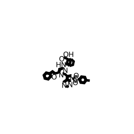 Cc1ccc(S(=O)(=O)n2cc(-c3nc(NC4C5CCC(CC5)C4C(=O)O)cc(-c4cc5ccccc5o4)n3)c3cncnc32)cc1